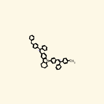 Cc1ccc(/C(=C/c2ccc(N3c4ccc(/C=C(\c5ccccc5)c5ccc(Cc6ccccc6)cc5)cc4C4CCCCC43)cc2)c2ccccc2)cc1